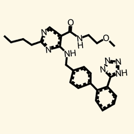 CCCCc1ncc(C(=O)NCCOC)c(NCc2ccc(-c3ccccc3-c3nnn[nH]3)cc2)n1